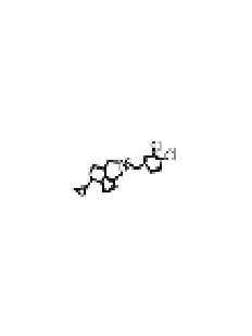 Clc1ccc(CSN2CCC3CCC(C4CC4)c4cccc(c43)C2)cc1Cl